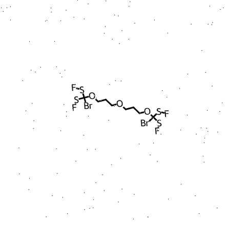 FSC(Br)(OCCCOCCCOC(Br)(SF)SF)SF